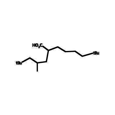 CC(CC(CCCCC(C)(C)C)C(=O)O)CC(C)(C)C